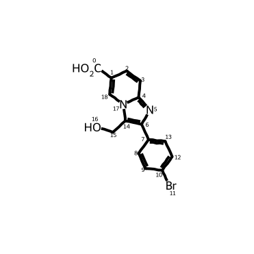 O=C(O)c1ccc2nc(-c3ccc(Br)cc3)c(CO)n2c1